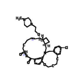 CN1CCN(CCO[C@H]2/C=C/CCC/[SH](=O)=N\C(=O)c3ccc4c(c3)N(Cc3ccc(Cl)cc3CCCCO4)C[C@@H]3CC[C@H]32)CC1